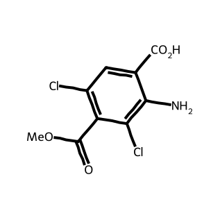 COC(=O)c1c(Cl)cc(C(=O)O)c(N)c1Cl